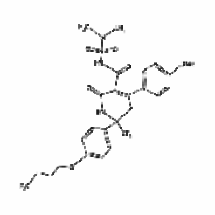 COc1ccc(C2=C(C(=O)NS(=O)(=O)N(C)C)C(=O)NC(c3ccc(OCCCC(F)(F)F)cc3)(C(F)(F)F)C2)cc1